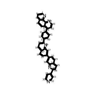 c1cnc2c(c1)ccc1c(-c3ccc(-c4ccc5ccc(-c6ccc7ccc(-c8ccncc8)nc7c6)cc5n4)cc3)ccnc12